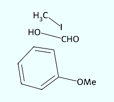 CI.COc1ccccc1.O=CO